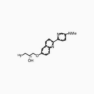 CNc1ccc(-c2ccc3cc(OC[C@H](O)C[18F])ccc3n2)nc1